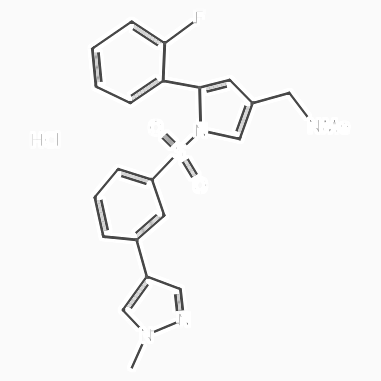 CNCc1cc(-c2ccccc2F)n(S(=O)(=O)c2cccc(-c3cnn(C)c3)c2)c1.Cl